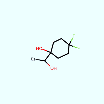 [CH2]CC(O)C1(O)CCC(F)(F)CC1